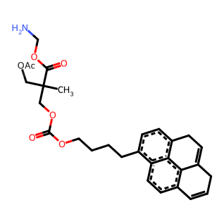 CC(=O)OCC(C)(COC(=O)OCCCCc1ccc2c3c4c(ccc13)C=CCC4=CC2)C(=O)OCN